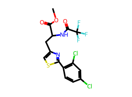 COC(=O)C(Cc1csc(-c2ccc(Cl)cc2Cl)n1)NC(=O)C(F)(F)F